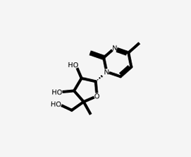 C=C1N=C(C)C=CN1[C@@H]1OC(C)(CO)C(O)C1O